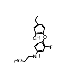 CCc1ccc(Oc2ccc(NCCO)cc2F)c(O)c1